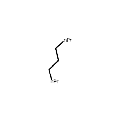 [CH]CCCCCCC[CH]